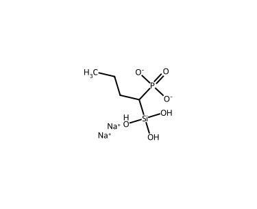 CCCC([Si](O)(O)O)P(=O)([O-])[O-].[Na+].[Na+]